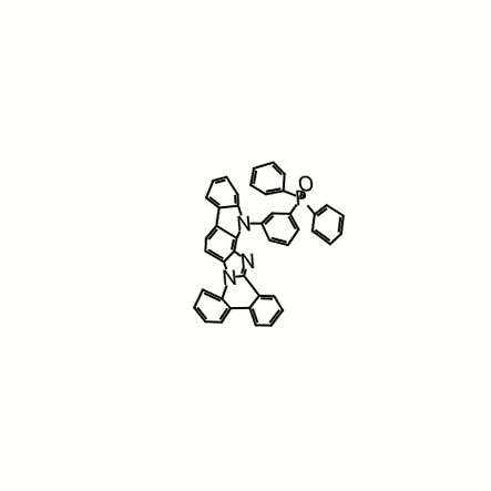 O=P(c1ccccc1)(c1ccccc1)c1cccc(-n2c3ccccc3c3ccc4c(nc5c6ccccc6c6ccccc6n45)c32)c1